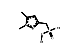 CCOP(=O)(O)Cc1cc(C)n(C)n1